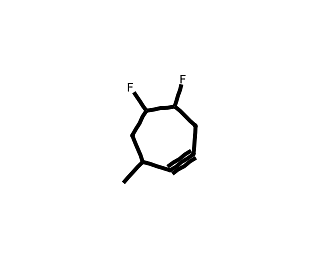 CC1C#CCC(F)C(F)C1